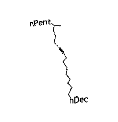 [CH2]CCCCCCCCCCCCCCCCCC#CCCCC(C)CCCC[CH2]